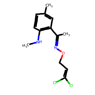 CNc1ccc(C)cc1/C(C)=N/OCC=C(Cl)Cl